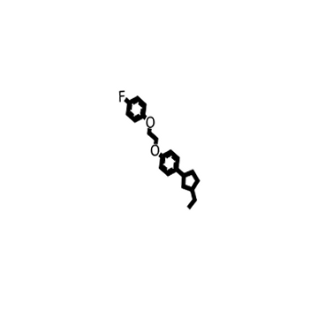 CCC1CCC(c2ccc(OCCOc3ccc(F)cc3)cc2)C1